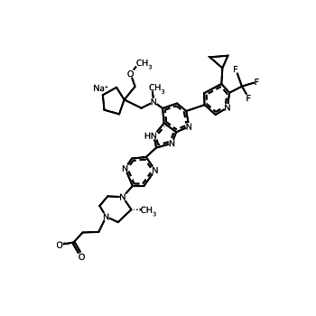 COCC1(CN(C)c2cc(-c3cnc(C(F)(F)F)c(C4CC4)c3)nc3nc(-c4cnc(N5CCN(CCC(=O)[O-])C[C@H]5C)cn4)[nH]c23)CCCC1.[Na+]